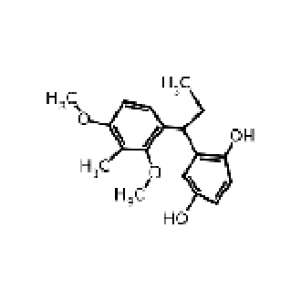 CCC(c1cc(O)ccc1O)c1ccc(OC)c(C)c1OC